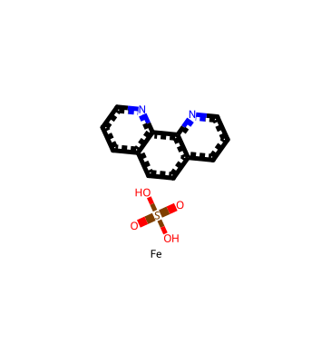 O=S(=O)(O)O.[Fe].c1cnc2c(c1)ccc1cccnc12